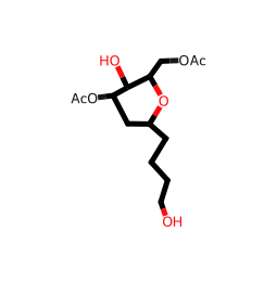 CC(=O)OCC1OC(CCCCO)CC(OC(C)=O)C1O